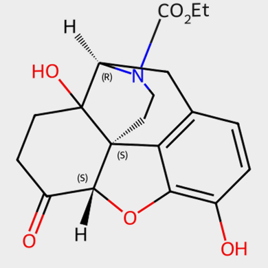 CCOC(=O)N1CC[C@]23c4c5ccc(O)c4O[C@@H]2C(=O)CCC3(O)[C@H]1C5